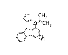 C[CH](C)[Zr+2]([C]1=CC=CC1)[c]1cccc2c1Cc1ccccc1-2.[Cl-].[Cl-]